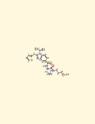 CCC(CC)n1c(Cc2cccs2)nc2cc(C(=O)N[C@@H](CC(C)C)C(=O)NCCCOI)ccc21